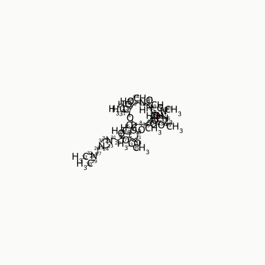 CC[C@H]1OC(=O)[C@H](C)[C@@H](O[C@H]2C[C@@](C)(OC)[C@@H](OC(=O)CCN3CCN(CCN(CC)CC)CC3)[C@H](C)O2)[C@H](C)[C@@H](O[C@@H]2O[C@H](C)C[C@H](N(C)C)[C@H]2O)[C@](C)(OC)C[C@@H](C)C(=O)N[C@H](C)[C@@H](O)[C@]1(C)O